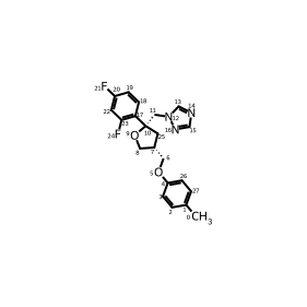 Cc1ccc(OC[C@@H]2CO[C@@](Cn3cncn3)(c3ccc(F)cc3F)C2)cc1